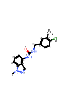 Cn1ncc2c(NC(=O)NCc3ccc(Cl)c(C(F)(F)F)c3)cccc21